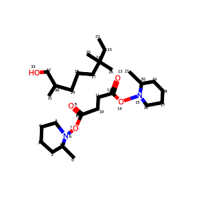 CC1CCCCN1OC(=O)CCC(=O)ON1CCCCC1C.CCC(C)(C)CCCC(C)CO